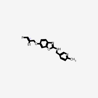 CC/C(=C\F)COc1ccc2nc(NCc3ccc(C)nc3)oc2c1